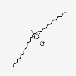 CCCCCCCCCCCCN1CC[N+](CCCCCCCCCCCC)=C1C.[Cl-]